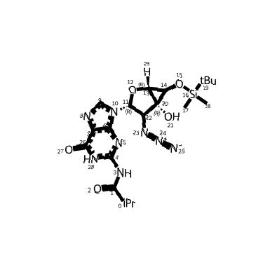 CC(C)C(=O)Nc1nc2c(ncn2[C@@H]2O[C@@H]3C(O[Si](C)(C)C(C)(C)C)[C@@]3(O)C2N=[N+]=[N-])c(=O)[nH]1